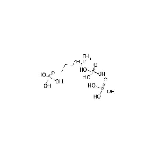 C.CCCC.O.O=P(O)(O)O.O=P(O)(O)O.O=P(O)(O)O